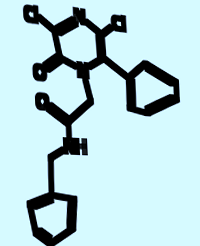 O=C(Cn1c(-c2ccccc2)c(Cl)nc(Cl)c1=O)NCc1ccccc1